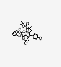 COc1ccc(-c2c(CC(C)NC(=O)OC(C)(C)C)sc3c(N(Cc4ccco4)C(=O)O)nc(Cl)nc23)cc1